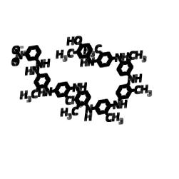 Cc1cc(Nc2ccc(Nc3ccc(Nc4ccc(Nc5ccc(Nc6ccc(Nc7ccc(Nc8ccc(NNc9cccc([N+](=O)[O-])c9)cc8C)cc7C)cc6C)cc5C)cc4C)cc3C)cc2C)ccc1O